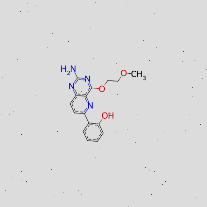 COCCOc1nc(N)nc2ccc(-c3ccccc3O)nc12